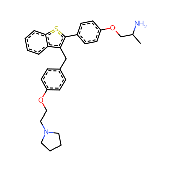 CC(N)COc1ccc(-c2sc3ccccc3c2Cc2ccc(OCCN3CCCC3)cc2)cc1